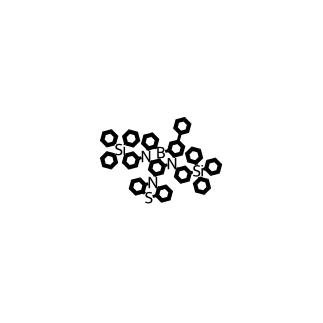 c1ccc(-c2ccc3c(c2)B2c4ccccc4N(c4cccc([Si](c5ccccc5)(c5ccccc5)c5ccccc5)c4)c4cc(N5c6ccccc6Sc6ccccc65)cc(c42)N3c2cccc([Si](c3ccccc3)(c3ccccc3)c3ccccc3)c2)cc1